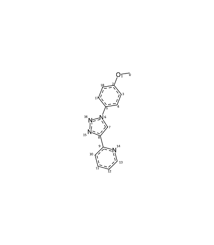 COc1ccc(-n2cc(-c3ccccn3)nn2)cc1